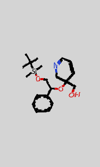 CC(C)(C)[Si](C)(C)OCC(OC1(CO)C=CC=NC1)c1ccccc1